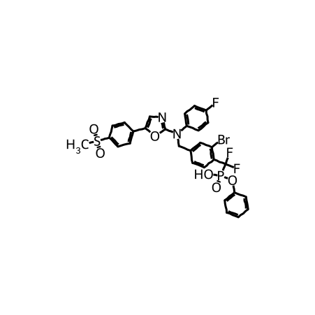 CS(=O)(=O)c1ccc(-c2cnc(N(Cc3ccc(C(F)(F)P(=O)(O)Oc4ccccc4)c(Br)c3)c3ccc(F)cc3)o2)cc1